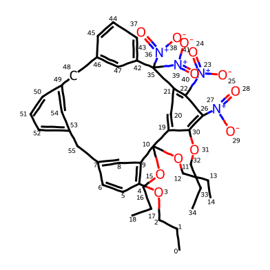 CCCOc1ccc2cc1C(OCCC)(OCCC)c1cc(c([N+](=O)[O-])c([N+](=O)[O-])c1OCCC)C([N+](=O)[O-])([N+](=O)[O-])c1cccc(c1)Cc1cccc(c1)C2